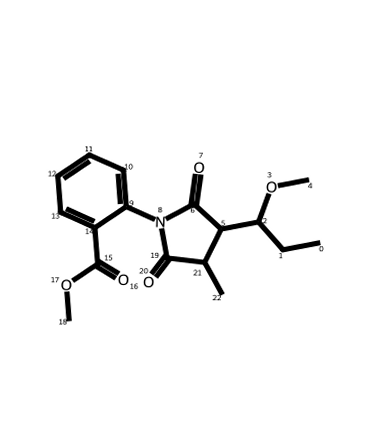 CCC(OC)C1C(=O)N(c2ccccc2C(=O)OC)C(=O)C1C